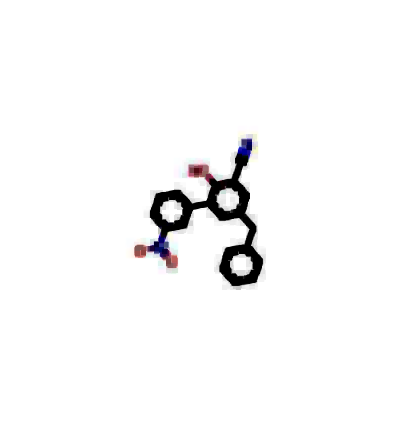 N#Cc1cc(Cc2ccccc2)cc(-c2cccc([N+](=O)[O-])c2)c1O